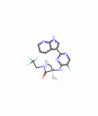 CC[C@@](C)(Nc1nc(-c2c[nH]c3ncccc23)ncc1F)C(=O)NCC(F)(F)F